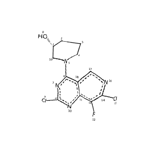 O[C@@H]1CCCN(c2nc(Cl)nc3c(F)c(Cl)ncc23)C1